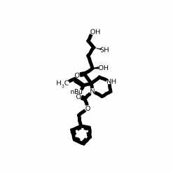 CC=C(CCCC)C1(C(=O)[C@H](O)C[C@@H](S)CO)CNCCN1C(=O)OCc1ccccc1